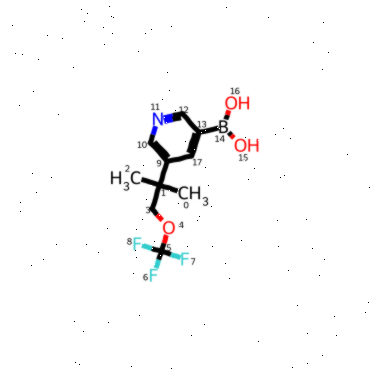 CC(C)(COC(F)(F)F)c1cncc(B(O)O)c1